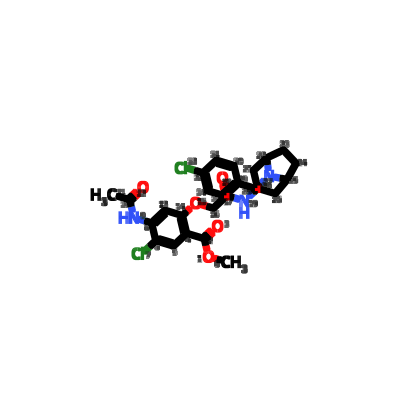 COC(=O)c1cc(Cl)c(NC(C)=O)cc1OCC(=O)NC1CC2CCC(C1)N2Cc1ccc(Cl)cc1